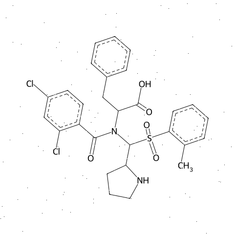 Cc1ccccc1S(=O)(=O)C(C1CCCN1)N(C(=O)c1ccc(Cl)cc1Cl)C(Cc1ccccc1)C(=O)O